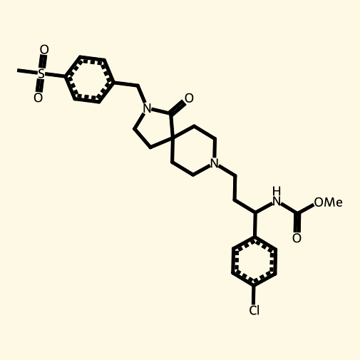 COC(=O)NC(CCN1CCC2(CC1)CCN(Cc1ccc(S(C)(=O)=O)cc1)C2=O)c1ccc(Cl)cc1